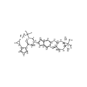 CC(C)(CC[C@H](NC(=O)c1nonc1C1CC1)c1cn2ncc(CN3C[C@@H]4[C@H](CNC3=O)C4(F)F)cc2n1)C(F)(F)F